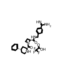 N=C(N)c1ccc(CNC(=O)[C@@H]2CCN2C(=O)[C@H]2C[C@@H](c3ccccc3)CCN2)cc1.O=C(O)C(F)(F)F